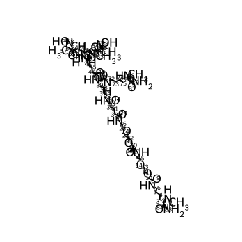 CN[C@@H](CCCCNC(=O)COCCOCCNC(=O)COCCOCCNC(=O)CCCC(=O)NCCCC[C@H](NC(=O)CCCC(=O)NC(CNC(C)(C)/C(C)=N/O)CNC(C)(C)/C(C)=N/O)C(=O)NCCCC[C@H](NC)C(N)=O)C(N)=O